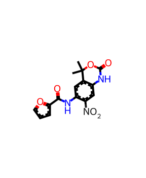 CC1(C)OC(=O)Nc2cc([N+](=O)[O-])c(NC(=O)c3ccco3)cc21